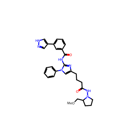 COCC1CCCN1NC(=O)CCCc1cn(-c2ccccc2)c(NC(=O)c2cccc(-c3cn[nH]c3)c2)n1